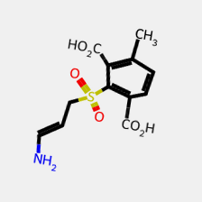 Cc1ccc(C(=O)O)c(S(=O)(=O)CC=CN)c1C(=O)O